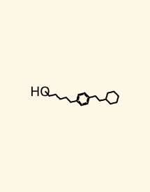 OCCCCCc1ccc(CCC2CCCCC2)cc1